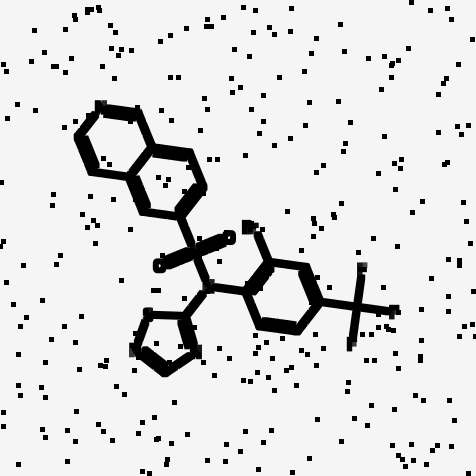 O=S(=O)(c1ccc2cnccc2c1)N(c1ncns1)c1ccc(C(F)(F)F)cc1Br